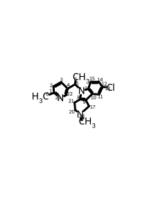 Cc1ccc(C(C)n2c3c(c4cc(Cl)ccc42)CN(C)CC3)cn1